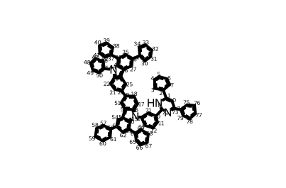 C1=C(c2ccccc2)NC(c2cccc(-n3c4ccc(-c5ccc6c(c5)c5cc(-c7ccccc7)cc(-c7ccccc7)c5n6-c5ccccc5)cc4c4cc(-c5ccccc5)cc(-c5ccccc5)c43)c2)N=C1c1ccccc1